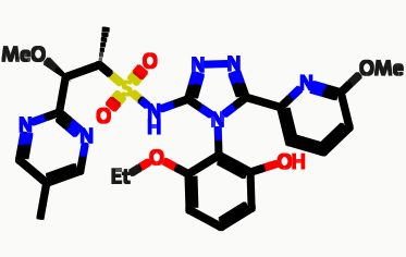 CCOc1cccc(O)c1-n1c(NS(=O)(=O)[C@@H](C)[C@H](OC)c2ncc(C)cn2)nnc1C1=C=C=CC(OC)=N1